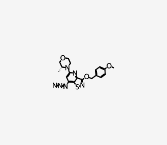 COc1ccc(COc2nsc3c(N=[N+]=[N-])cc(N4CCOC[C@H]4C)nc23)cc1